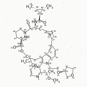 CO[C@@H](C)c1ncccc1-c1c2c3cc(ccc3n1CCO[C@H]1CCOC1)C1CSC(=N1)C[C@H](NC(=O)[C@H]1[C@H](C)[C@@H]1C)C(=O)N1CCC[C@H](N1)C(=O)OCC(C)(C)C2